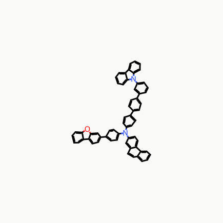 c1cc(-c2ccc(-c3ccc(N(c4ccc(-c5ccc6c(c5)oc5ccccc56)cc4)c4ccc5c(ccc6ccccc65)c4)cc3)cc2)cc(-n2c3ccccc3c3ccccc32)c1